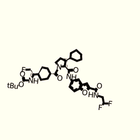 CC(C)(C)OC(=O)N[C@H](CF)[C@H]1CC[C@H](C(=O)N2CC[C@@H](C3CCCCC3)[C@H]2C(=O)Nc2ccc3oc(C(=O)NCC(F)F)cc3c2)CC1